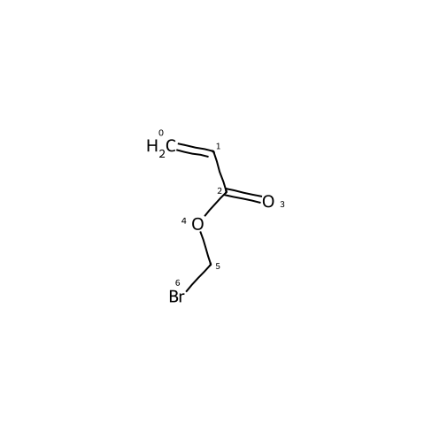 C=CC(=O)OCBr